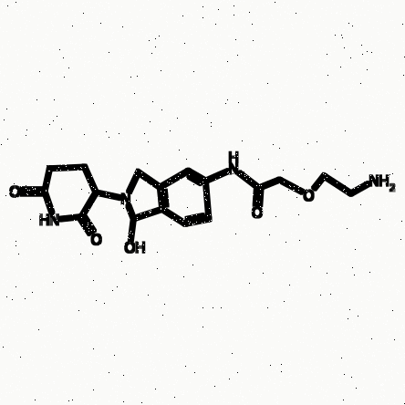 NCCOCC(=O)Nc1ccc2c(c1)CN(C1CCC(=O)NC1=O)C2O